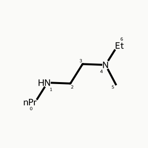 CCCNCCN(C)CC